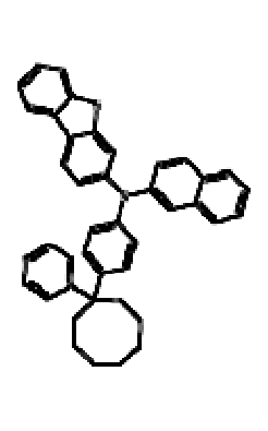 c1ccc(C2(c3ccc(N(c4ccc5ccccc5c4)c4ccc5c(c4)sc4ccccc45)cc3)CCCCCCC2)cc1